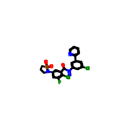 O=C(Nc1cc(Cl)cc(-c2ccccn2)c1)c1cc(N2CCCS2(=O)=O)cc(F)c1Cl